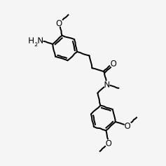 COc1cc(CCC(=O)N(C)Cc2ccc(OC)c(OC)c2)ccc1N